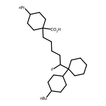 CCCCC1CCC(C2(C(F)CCCCC3(C(=O)O)CCC(CCC)CC3)CCCCC2)CC1